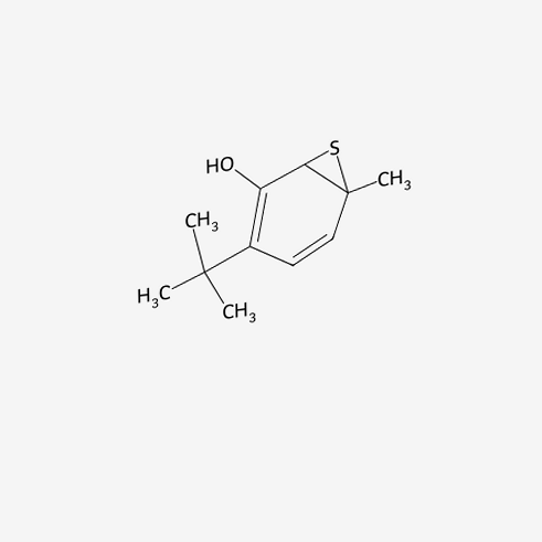 CC(C)(C)C1=C(O)C2SC2(C)C=C1